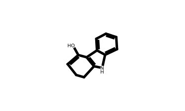 OC1=CCCc2[nH]c3ccccc3c21